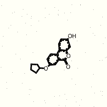 O=c1oc2cc(O)ccc2c2ccc(OC3CCCC3)cc12